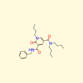 CCCCN(CCCC)C(=O)c1cc(C(=O)NCc2ccccc2)c(=O)n(CCCC)c1